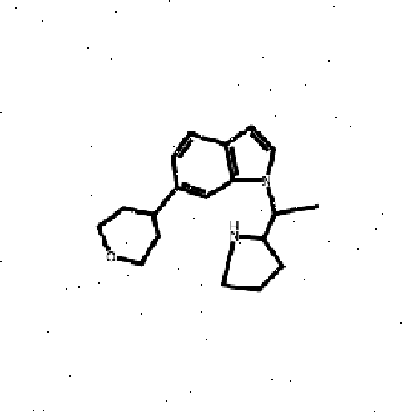 CC(C1CCCN1)n1ccc2ccc(C3CCOCC3)cc21